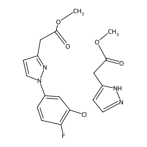 COC(=O)Cc1ccn(-c2ccc(F)c(Cl)c2)n1.COC(=O)Cc1ccn[nH]1